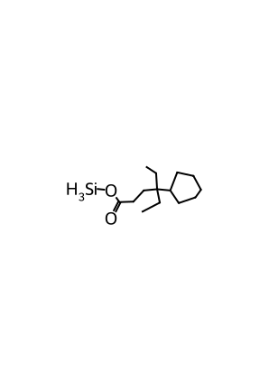 CCC(CC)(CCC(=O)O[SiH3])C1CCCCC1